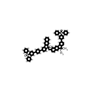 CC1(C)c2ccc(-c3ccc(P(=O)(c4ccccc4)c4ccccc4)cc3)cc2-c2cc3cc(CC4(C)c5ccc(-c6ccc(-c7ccc(P(=O)(c8ccccc8)c8ccccc8)cc7)cc6)cc5-c5cc6ccccc6cc54)ccc3cc21